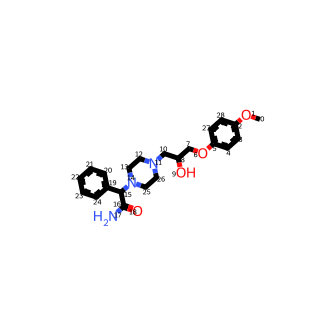 COc1ccc(OCC(O)CN2CCN(C(C(N)=O)c3ccccc3)CC2)cc1